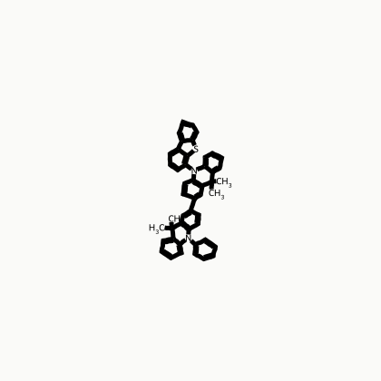 CC1(C)c2ccccc2N(c2ccccc2)c2ccc(-c3ccc4c(c3)C(C)(C)c3ccccc3N4c3cccc4c3sc3ccccc34)cc21